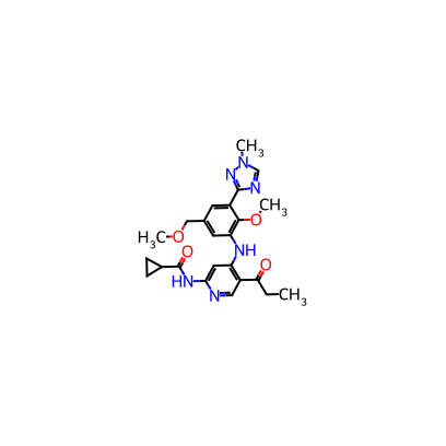 CCC(=O)c1cnc(NC(=O)C2CC2)cc1Nc1cc(COC)cc(-c2ncn(C)n2)c1OC